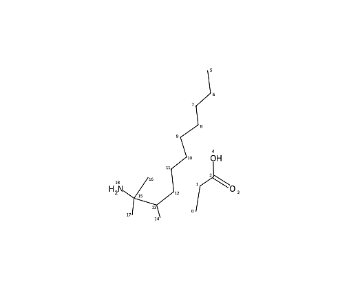 CCC(=O)O.CCCCCCCCC(C)C(C)(C)N